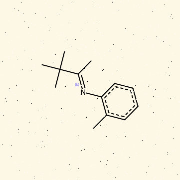 C/C(=N\c1ccccc1C)C(C)(C)C